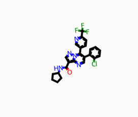 O=C(NC1CCCC1)c1cnn2c(-c3ccc(C(F)(F)F)nc3)c(-c3ccccc3Cl)cnc12